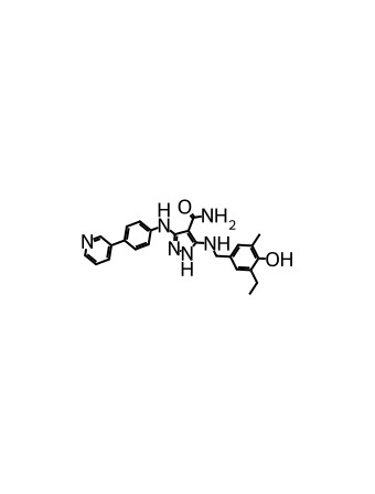 CCc1cc(CNc2[nH]nc(Nc3ccc(-c4cccnc4)cc3)c2C(N)=O)cc(C)c1O